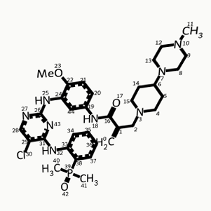 C=C(CN1CCC(N2CCN(C)CC2)CC1)C(=O)Nc1ccc(OC)c(Nc2ncc(Cl)c(Nc3ccccc3P(C)(C)=O)n2)c1